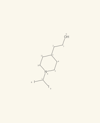 OCCC1CCN(C(I)I)CC1